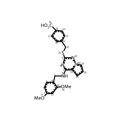 COc1ccc(CNc2nc(SCc3ccc(C(=O)O)cc3)nn3cccc23)c(OC)c1